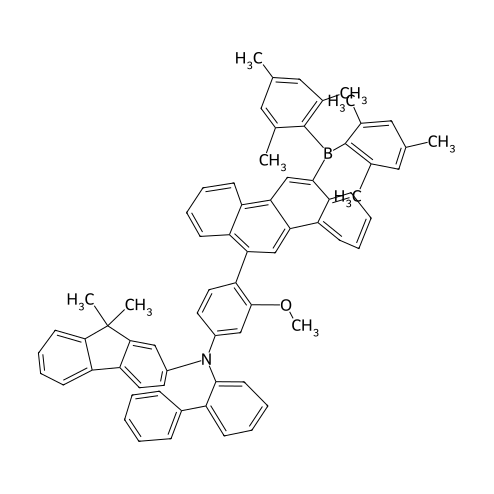 COc1cc(N(c2ccc3c(c2)C(C)(C)c2ccccc2-3)c2ccccc2-c2ccccc2)ccc1-c1cc2c3ccccc3c(B(c3c(C)cc(C)cc3C)c3c(C)cc(C)cc3C)cc2c2ccccc12